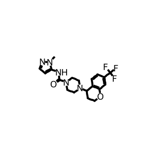 Cn1nccc1NC(=O)N1CCN(C2CCOc3cc(C(F)(F)F)ccc32)CC1